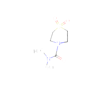 CN(C(=O)N1CCS(=O)(=O)CC1)C(C)(C)C